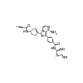 CC#CC(=O)NC1CC=C(c2nc(-c3ccc(C(=O)NC(=N)/C=C\C=N)cc3)c3c(N)nccn23)CC1